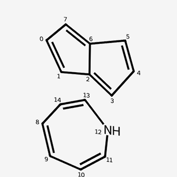 C1=CC2=CC=CC2=C1.C1=CC=CNC=C1